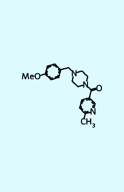 COc1ccc(CN2CCN(C(=O)c3ccc(C)nc3)CC2)cc1